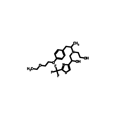 CCOCCOc1ccc(CC(C)N(CCO)CC(O)c2csc(C(F)(F)F)n2)cc1